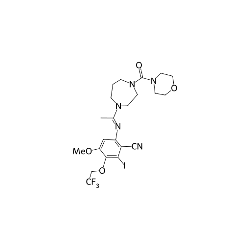 COc1cc(N=C(C)N2CCCN(C(=O)N3CCOCC3)CC2)c(C#N)c(I)c1OCC(F)(F)F